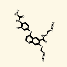 CCNC(=O)Nc1ccc(Oc2ccnc3cc(OCN=[N+]=[N-])c(C(=O)NOCN=[N+]=[N-])cc23)cc1Cl